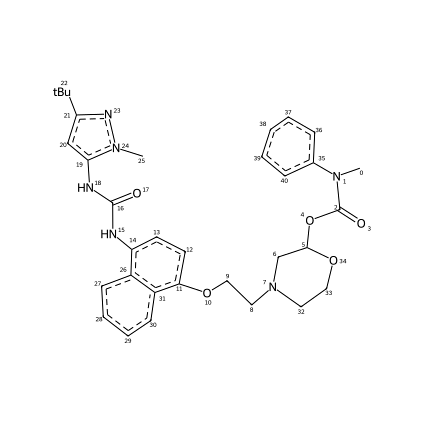 CN(C(=O)OC1CN(CCOc2ccc(NC(=O)Nc3cc(C(C)(C)C)nn3C)c3ccccc23)CCO1)c1ccccc1